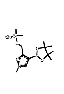 Cn1cc(B2OC(C)(C)C(C)(C)O2)c(CO[Si](C)(C)C(C)(C)C)n1